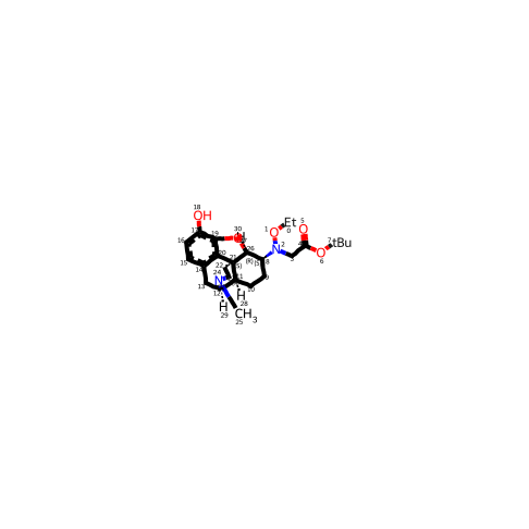 CCON(CC(=O)OC(C)(C)C)[C@H]1CC[C@H]2[C@H]3Cc4ccc(O)c5c4[C@@]2(CCN3C)[C@H]1O5